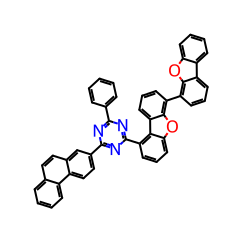 c1ccc(-c2nc(-c3ccc4c(ccc5ccccc54)c3)nc(-c3cccc4oc5c(-c6cccc7c6oc6ccccc67)cccc5c34)n2)cc1